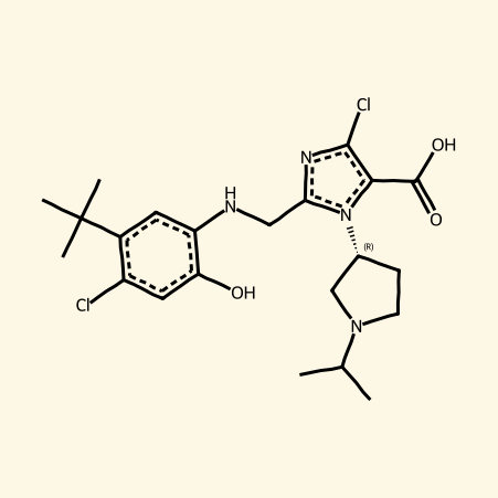 CC(C)N1CC[C@@H](n2c(CNc3cc(C(C)(C)C)c(Cl)cc3O)nc(Cl)c2C(=O)O)C1